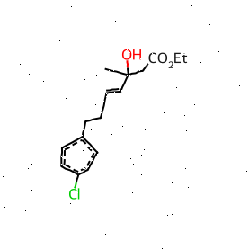 CCOC(=O)CC(C)(O)/C=C/CCc1ccc(Cl)cc1